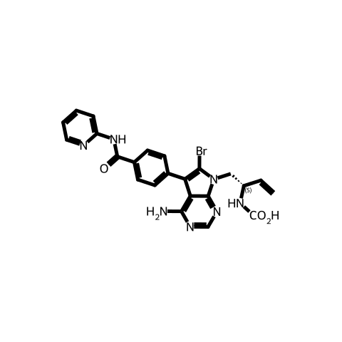 C=C[C@@H](Cn1c(Br)c(-c2ccc(C(=O)Nc3ccccn3)cc2)c2c(N)ncnc21)NC(=O)O